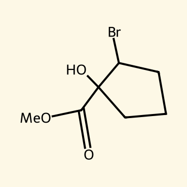 COC(=O)C1(O)CCCC1Br